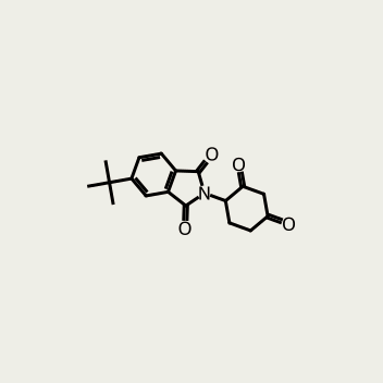 CC(C)(C)c1ccc2c(c1)C(=O)N(C1CCC(=O)CC1=O)C2=O